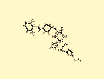 Cc1nnc(NC(=O)[C@@H]2OCO[C@H]2C(=O)N[C@@H](Cc2ccc(OCc3c(Cl)cccc3Cl)cc2)C(=O)O)s1